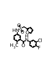 Cc1ccc(NS(=O)(=O)Cc2ccco2)cc1C(=O)Nc1ccc(F)c(Cl)c1